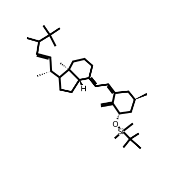 C=C1/C(=C\C=C2/CCC[C@]3(C)C([C@H](C)/C=C/C(C)C(C)(C)C)CC[C@@H]23)C[C@@H](C)C[C@@H]1O[Si](C)(C)C(C)(C)C